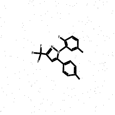 Cc1ccc(-c2cc(C(F)(F)F)nn2-c2cc(C)ccc2F)cc1